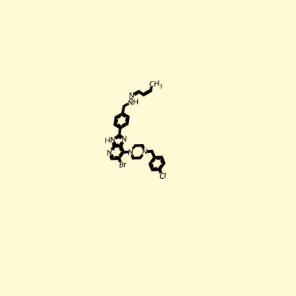 C/C=C\C=N/NCc1ccc(-c2nc3c(N4CCN(Cc5ccc(Cl)cc5)CC4)c(Br)cnc3[nH]2)cc1